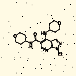 CCn1ncc2c(NC3CCOCC3)c(C(=O)NC3CCOCC3)cnc21